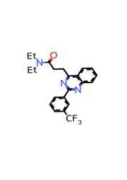 CCN(CC)C(=O)CCc1nc(-c2cccc(C(F)(F)F)c2)nc2ccccc12